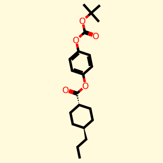 CCC[C@H]1CC[C@H](C(=O)Oc2ccc(OC(=O)OC(C)(C)C)cc2)CC1